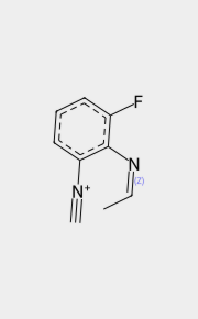 C#[N+]c1cccc(F)c1/N=C\C